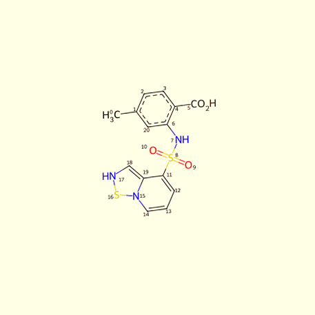 Cc1ccc(C(=O)O)c(NS(=O)(=O)C2=CC=CN3SNC=C23)c1